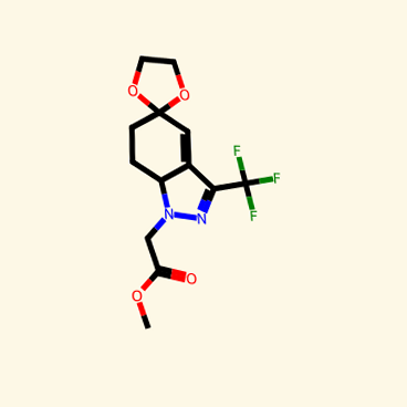 COC(=O)CN1N=C(C(F)(F)F)C2=CC3(CCC21)OCCO3